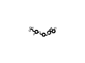 CN1CC2(CCN(Cc3ccc(COc4ccc(CCC(=O)O)c(F)c4)cc3)CC2)c2cccc(Cl)c21